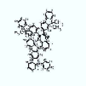 CC1(C)c2ccccc2-c2ccc(-c3nc4cccc(-n5c6ccccc6c6cc7c8ccccc8n(-c8ccccc8)c7cc65)c4nc3-c3ccc4c(c3)C(C)(C)c3ccccc3-4)cc21